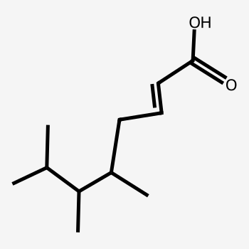 CC(C)C(C)C(C)CC=CC(=O)O